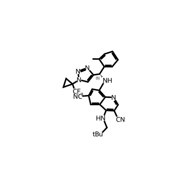 Cc1ccccc1[C@H](Nc1cc(C#N)cc2c(NCC(C)(C)C)c(C#N)cnc12)c1cn(C2(C(F)(F)F)CC2)nn1